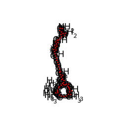 CO[C@H]1C[C@@H]2CCC[C@@](O)(O2)C(=O)C(=O)N2CCCC[C@H]2C(=O)O[C@H]([C@H](N)C[C@@H]2CC[C@H](n3cc(COC(=O)NCCOCCOCCOCCOCCC(=O)NCc4cnc(N5CCN(c6ncc(C(=O)NCCCCn7nc(-c8ccc9oc(N)nc9c8)c8c(N)ncnc87)cn6)CC5)nc4)nn3)[C@H](OC)C2)CC(=O)[C@H](C)/C=C(\C)[C@@H](O)[C@@H](OC)C(=O)[C@H](C)C[C@H](C)/C=C/C=C/C=C/1C